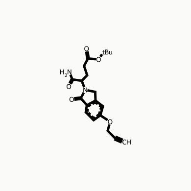 C#CCOc1ccc2c(c1)CN(C(CCC(=O)OC(C)(C)C)C(N)=O)C2=O